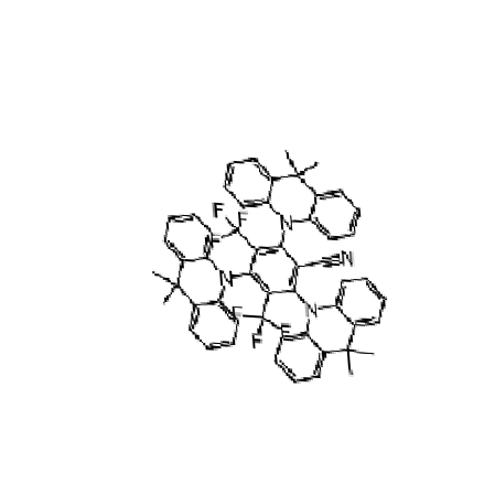 CC1(C)c2ccccc2N(c2c(C#N)c(N3c4ccccc4C(C)(C)c4ccccc43)c(C(F)(F)F)c(N3c4ccccc4C(C)(C)c4ccccc43)c2C(F)(F)F)c2ccccc21